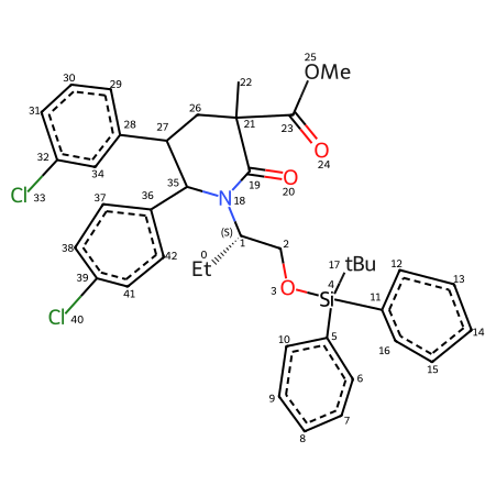 CC[C@@H](CO[Si](c1ccccc1)(c1ccccc1)C(C)(C)C)N1C(=O)C(C)(C(=O)OC)CC(c2cccc(Cl)c2)C1c1ccc(Cl)cc1